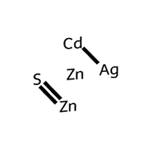 [Ag][Cd].[S]=[Zn].[Zn]